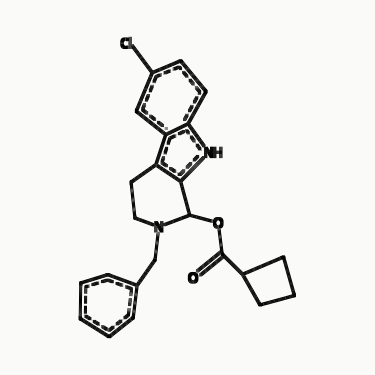 O=C(OC1c2[nH]c3ccc(Cl)cc3c2CCN1Cc1ccccc1)C1CCC1